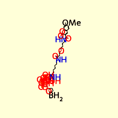 B[C@H]1CC[C@@H](COP(=O)(O)OP(=O)(O)OP(=O)(O)OP(=O)(O)NCCCCCCCNC(=O)CCOCCCCNC(=O)c2cc3ccc(OC)cc3oc2=O)O1